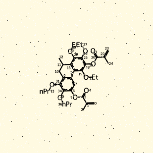 C=C(C)C(=O)Oc1ccc(CC(C)c2cc(OCC)c(OC(=O)C(=C)C)c(OCC)c2OCC)c(OCCC)c1OCCC